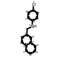 Clc1ccc(NCc2ccc3ccccc3c2)cc1